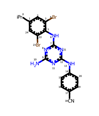 CC(C)c1cc(Br)c(Nc2nc(N)nc(Nc3ccc(C#N)cc3)n2)c(Br)c1